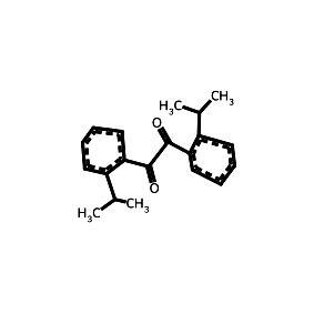 CC(C)c1ccccc1C(=O)C(=O)c1ccccc1C(C)C